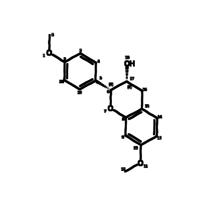 COc1ccc([C@H]2Oc3cc(OC)ccc3C[C@H]2O)cc1